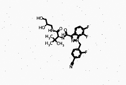 CC(C)(C)[C@H](NC(=O)c1nn(Cc2ccc(C#N)cc2F)c2c(F)c(F)ccc12)C(=O)NC[C@@H](O)CO